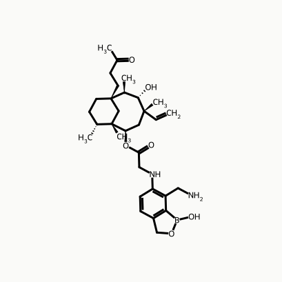 C=C[C@]1(C)C[C@@H](OC(=O)CNc2ccc3c(c2CN)B(O)OC3)[C@@]2(C)C[C@](CCC(C)=O)(CC[C@H]2C)[C@@H](C)[C@@H]1O